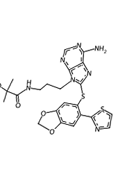 CC(C)(O)C(=O)NCCCn1c(Sc2cc3c(cc2-c2nccs2)OCO3)nc2c(N)ncnc21